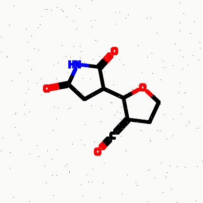 O=C=C1CCOC1C1CC(=O)NC1=O